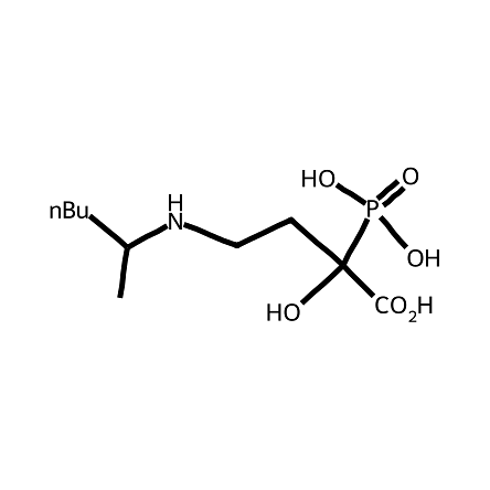 CCCCC(C)NCCC(O)(C(=O)O)P(=O)(O)O